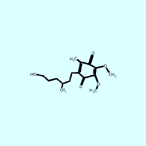 COC1=C(OC)C(=O)C(CCC(C)CCCO)=C(C)C1=O